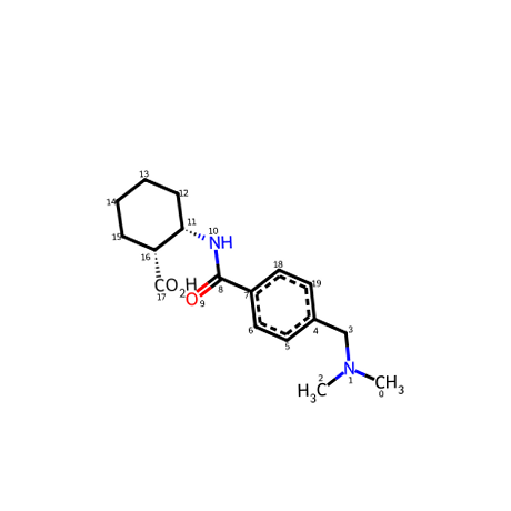 CN(C)Cc1ccc(C(=O)N[C@H]2CCCC[C@H]2C(=O)O)cc1